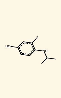 CC(C)Nc1ccc(O)cc1F